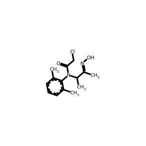 CC(=NO)C(C)N(C(=O)CCl)c1c(C)cccc1C